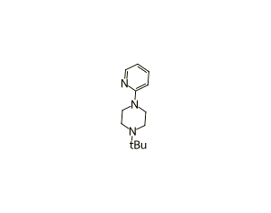 CC(C)(C)N1CCN(c2ccccn2)CC1